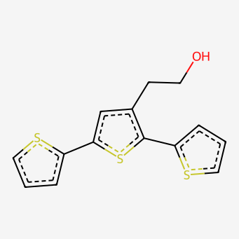 OCCc1cc(-c2cccs2)sc1-c1cccs1